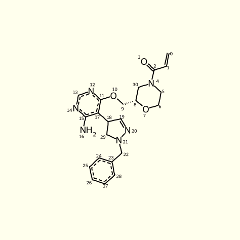 C=CC(=O)N1CCO[C@H](COc2ncnc(N)c2C2C=NN(Cc3ccccc3)C2)C1